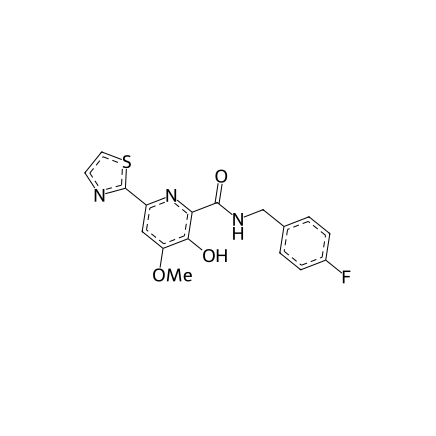 COc1cc(-c2nccs2)nc(C(=O)NCc2ccc(F)cc2)c1O